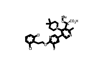 Cc1ncc(-c2cnc(OCCc3c(Cl)cccc3Cl)c(F)c2)c(N2CCC(C)(C)CC2)c1[C@H](OC(C)(C)C)C(=O)O